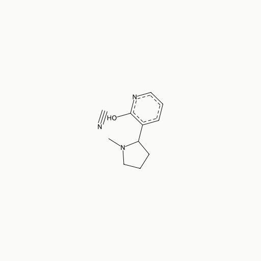 C#N.CN1CCCC1c1cccnc1O